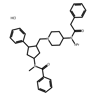 CCCN(C(=O)Cc1ccccc1)C1CCN(CC2CC(N(C)C(=O)c3ccccc3)CC2c2ccccc2)CC1.Cl